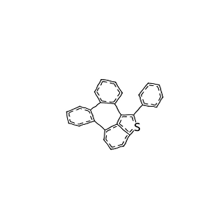 c1ccc(-c2sc3cccc4c3c2-c2ccccc2-c2ccccc2-4)cc1